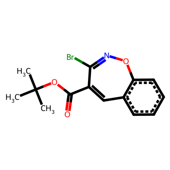 CC(C)(C)OC(=O)C1=Cc2ccccc2ON=C1Br